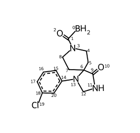 BC(=O)N1CCC2(CC1)C(=O)NCN2c1cccc(Cl)c1